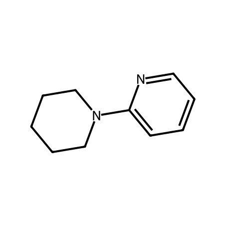 c1ccc(N2CCCCC2)nc1